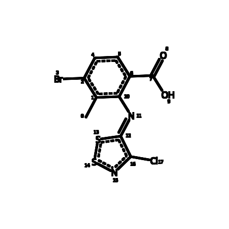 Cc1c(Br)ccc(C(=O)O)c1N=c1ssnc1Cl